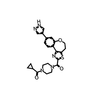 O=C(c1nc2c(s1)CCOc1cc(-c3cn[nH]c3)ccc1-2)N1CCN(C(=O)C2CC2)CC1